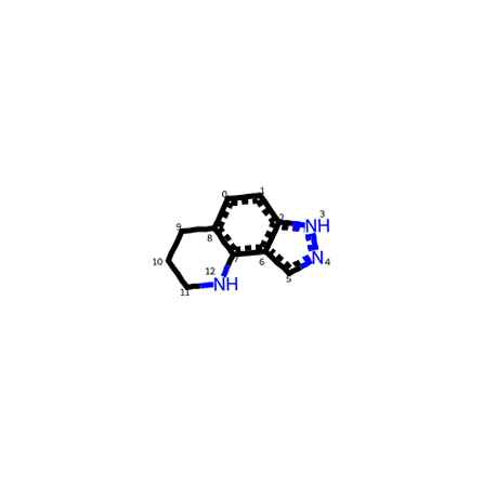 c1cc2[nH]ncc2c2c1CCCN2